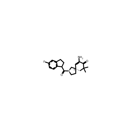 CC1(C)C[C@]2(C=C(N)C1=O)CCN(C(=O)C1CCc3cc(F)ccc31)C2